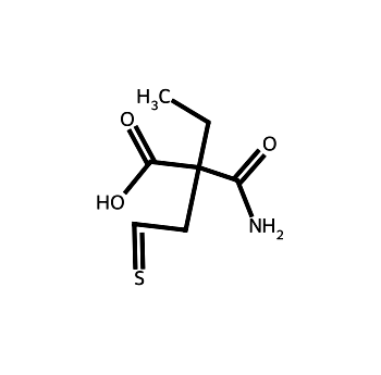 CCC(CC=S)(C(N)=O)C(=O)O